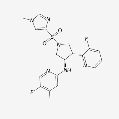 Cc1cc(N[C@H]2CN(S(=O)(=O)c3cn(C)cn3)C[C@@H]2c2ncccc2F)ncc1F